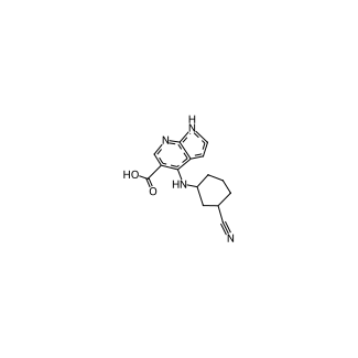 N#CC1CCCC(Nc2c(C(=O)O)cnc3[nH]ccc23)C1